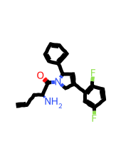 C=CC[C@H](N)C(=O)N1CC(c2cc(F)ccc2F)=CC1c1ccccc1